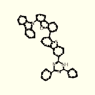 c1ccc(C2=NC(c3ccccc3)NC(c3ccc4sc5c(-c6cccc7c6oc6c(-n8c9ccccc9c9ccccc98)cccc67)cccc5c4c3)=N2)cc1